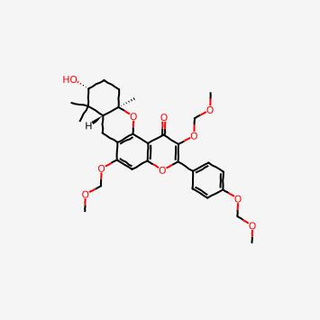 COCOc1ccc(-c2oc3cc(OCOC)c4c(c3c(=O)c2OCOC)O[C@]2(C)CC[C@@H](O)C(C)(C)[C@H]2C4)cc1